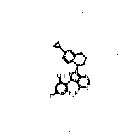 Nc1ncnc2c1c(-c1ccc(F)cc1O)nn2C1CCCc2cc(C3CC3)ccc21